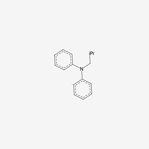 CC(C)CN(c1[c]cccc1)c1ccccc1